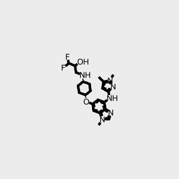 Cc1cc(Nc2cc(O[C@H]3CC[C@@H](NCC(O)C(F)F)CC3)cc3c2ncn3C)nn1C